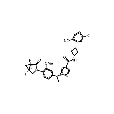 COc1cc(C(C)n2cc(C(=O)N[C@H]3C[C@@H](c4cc(Cl)ccc4C#N)C3)cn2)cnc1N1C[C@H]2C[C@H]2C1=O